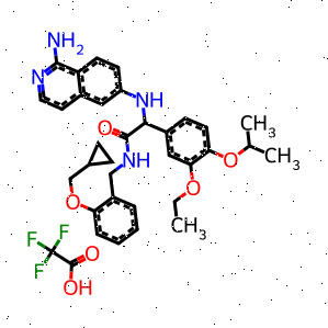 CCOc1cc(C(Nc2ccc3c(N)nccc3c2)C(=O)NCc2ccccc2OCC2CC2)ccc1OC(C)C.O=C(O)C(F)(F)F